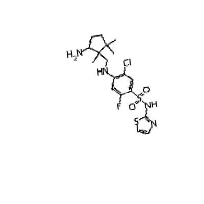 CC1(C)CCC(N)C1(C)CNc1cc(F)c(S(=O)(=O)Nc2nccs2)cc1Cl